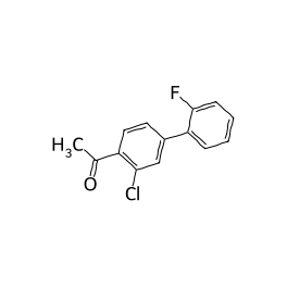 CC(=O)c1ccc(-c2ccccc2F)cc1Cl